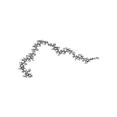 CC(=O)Nc1cc(C(=O)Nc2cc(C(=O)Nc3cn(C)c(C(=O)NCCC(=O)Nc4cc(C(=O)Nc5cn(C)c(C(=O)Nc6cn(C)c(C(=O)NCCCC(=O)Nc7cc(C(=O)Nc8cc(C(=O)NCCC(=O)Nc9cn(C)c(C(=O)Nc%10cc(C(=O)Nc%11ccc%12[nH]c(C(=O)N%13CC(CCl)c%14c%13cc(O)c%13ccccc%14%13)cc%12c%11)n(C)c%10)n9)n(C)c8)n(C)c7)n6)n5)n(C)c4)n3)n(C)c2)n(C)c1